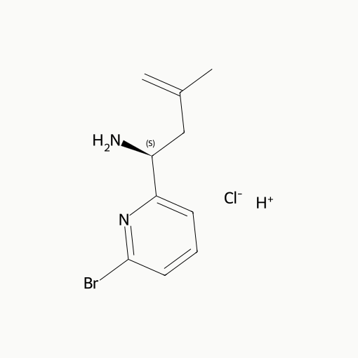 C=C(C)C[C@H](N)c1cccc(Br)n1.[Cl-].[H+]